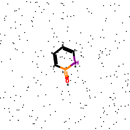 O=[PH]1C=CC=C[IH]1